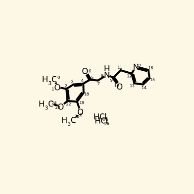 COc1cc(C(=O)CNC(=O)Cc2ccccn2)cc(OC)c1OC.Cl.Cl